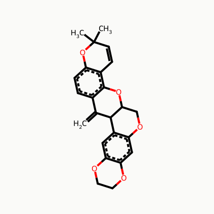 C=C1c2ccc3c(c2OC2COc4cc5c(cc4C12)OCCO5)C=CC(C)(C)O3